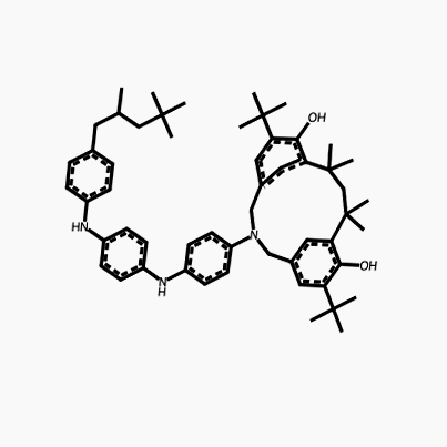 CC(Cc1ccc(Nc2ccc(Nc3ccc(N4Cc5cc(C(C)(C)C)c(O)c(c5)C(C)(C)CC(C)(C)c5cc(cc(C(C)(C)C)c5O)C4)cc3)cc2)cc1)CC(C)(C)C